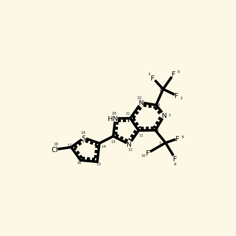 FC(F)(F)c1nc(C(F)(F)F)c2nc(-c3ccc(Cl)s3)[nH]c2n1